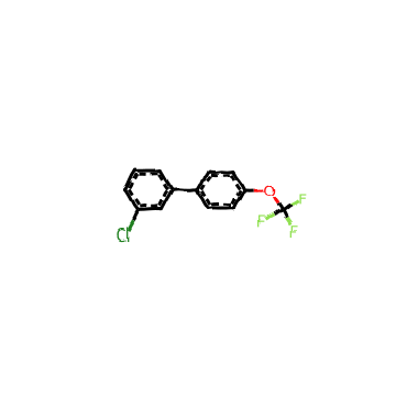 FC(F)(F)Oc1ccc(-c2cccc(Cl)c2)cc1